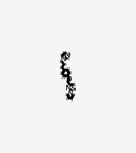 c1ccn(-c2nc(COc3ccc(CCCn4ccnc4)cc3)cs2)c1